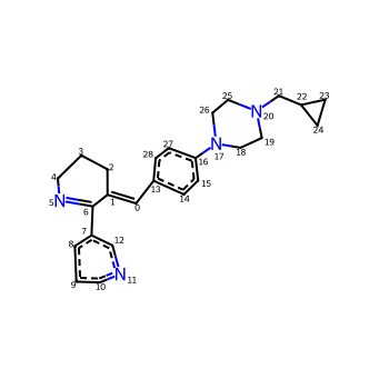 C(=C1CCCN=C1c1cccnc1)c1ccc(N2CCN(CC3CC3)CC2)cc1